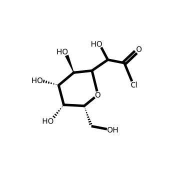 O=C(Cl)C(O)C1O[C@H](CO)[C@H](O)[C@H](O)[C@H]1O